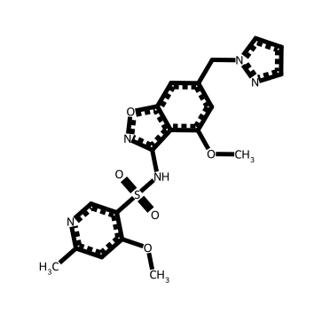 COc1cc(C)ncc1S(=O)(=O)Nc1noc2cc(Cn3cccn3)cc(OC)c12